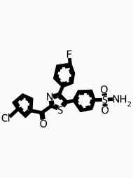 NS(=O)(=O)c1ccc(-c2sc(C(=O)c3cccc(Cl)c3)nc2-c2ccc(F)cc2)cc1